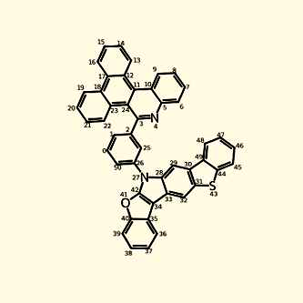 c1cc(-c2nc3ccccc3c3c4ccccc4c4ccccc4c23)cc(-n2c3cc4c(cc3c3c5ccccc5oc32)sc2ccccc24)c1